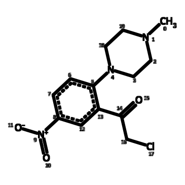 CN1CCN(c2ccc([N+](=O)[O-])cc2C(=O)CCl)CC1